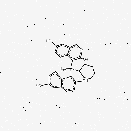 CC(c1c(O)ccc2cc(O)ccc12)(c1c(O)ccc2cc(O)ccc12)C1CCCCC1